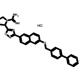 Cl.N=C(N)N1CCCC1c1nc(-c2ccc3cc(OCc4ccc(-c5ccccc5)cc4)ccc3c2)no1